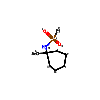 CCS(=O)(=O)NC1(OC(C)=O)CCCCC1